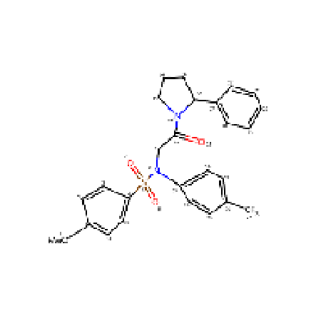 COc1ccc(S(=O)(=O)N(CC(=O)N2CCCC2c2ccccc2)c2ccc(C(F)(F)F)cc2)cc1